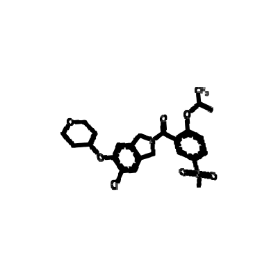 CC(Oc1ccc(S(C)(=O)=O)cc1C(=O)N1Cc2cc(Cl)c(OC3CCOCC3)cc2C1)C(F)(F)F